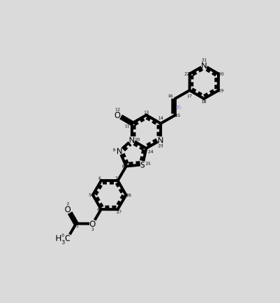 CC(=O)Oc1ccc(-c2nn3c(=O)cc(/C=C/c4cccnc4)nc3s2)cc1